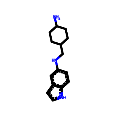 NC1CCC(CNc2ccc3[nH]ccc3c2)CC1